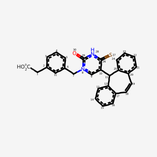 O=C(O)Cc1cccc(Cn2cc(C3c4ccccc4C=Cc4ccccc43)c(=S)[nH]c2=O)c1